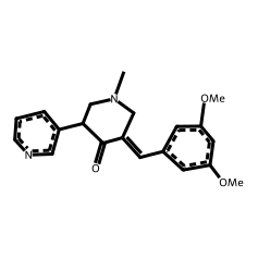 COc1cc(C=C2CN(C)CC(c3cccnc3)C2=O)cc(OC)c1